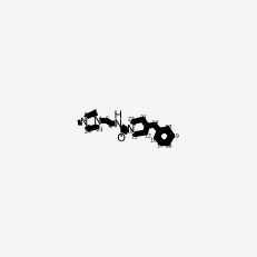 CN1CCN(CCNC(=O)N2CCC(Cc3ccccc3)CC2)CC1